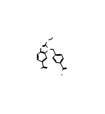 CCOc1nc2ccc(C(=O)O)cc2n1Cc1ccc(C(=O)OC)cc1